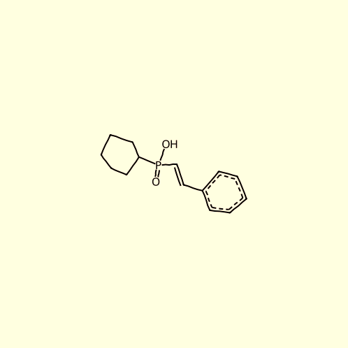 O=P(O)(C=Cc1ccccc1)C1CCCCC1